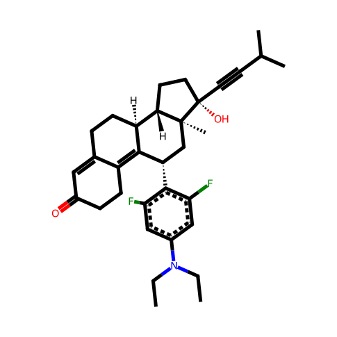 CCN(CC)c1cc(F)c([C@H]2C[C@@]3(C)[C@@H](CC[C@@]3(O)C#CC(C)C)[C@@H]3CCC4=CC(=O)CCC4=C32)c(F)c1